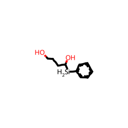 OCCCC(O)[SiH2]c1ccccc1